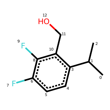 CC(C)c1ccc(F)c(F)c1CO